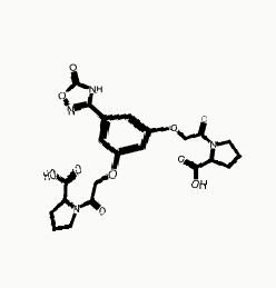 O=C(O)C1CCCN1C(=O)COc1cc(OCC(=O)N2CCCC2C(=O)O)cc(-c2noc(=O)[nH]2)c1